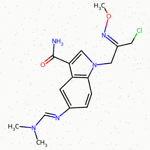 CON=C(CCl)Cn1cc(C(N)=O)c2cc(N=CN(C)C)ccc21